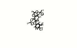 CC(=O)O[C@@H]1[C@@H](OC(C)=O)[C@H](OC(C)=O)CS[C@H]1Oc1cnc(Cl)c(F)c1